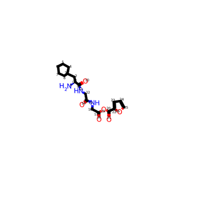 N[C@@H](CC1CCCCC1)C(=O)NCC(=O)NCC(=O)OC(=O)c1ccco1